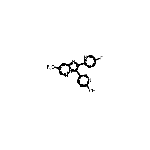 Cc1ccc(-c2c(-c3ccc(F)cn3)nc3cc(C(F)(F)F)cnn23)cn1